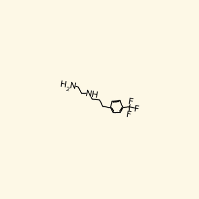 NCCNCCCc1ccc(C(F)(F)F)cc1